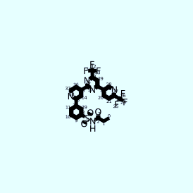 CCC(=O)NS(=O)(=O)c1cccc(-c2cc(-c3nc(-c4ccc(C(F)(F)F)nc4)cc(C(F)(F)F)n3)ccn2)c1